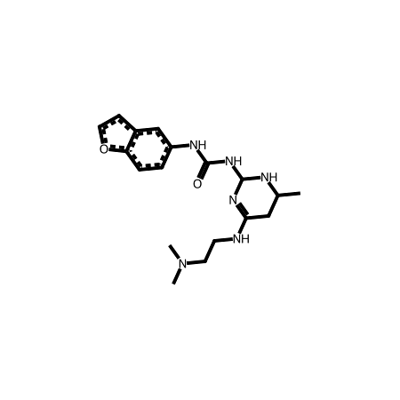 CC1CC(NCCN(C)C)=NC(NC(=O)Nc2ccc3occc3c2)N1